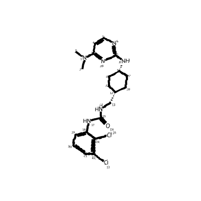 CN(C)c1ccnc(N[C@H]2CC[C@@H](CNC(=O)Nc3cccc(Cl)c3Cl)CC2)n1